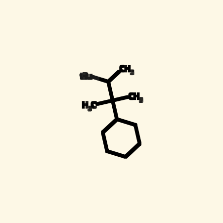 CC(C(C)(C)C)C(C)(C)C1CCCCC1